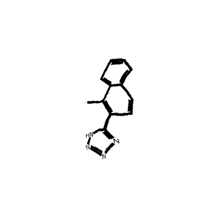 [CH2]c1c(-c2nnn[nH]2)ccc2ccccc12